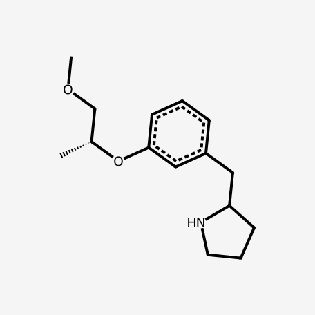 COC[C@@H](C)Oc1cccc(CC2CCCN2)c1